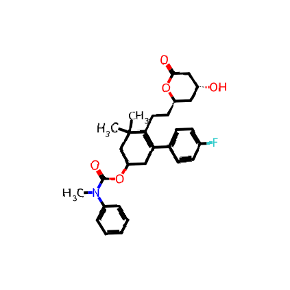 CN(C(=O)OC1CC(c2ccc(F)cc2)=C(CC[C@@H]2C[C@@H](O)CC(=O)O2)C(C)(C)C1)c1ccccc1